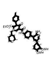 CCOC(=O)c1c(-c2ccc(C)cc2)c(=O)c(C(=O)Nc2ccc(-c3cc(-c4ccc(OC)c(OC)c4)cnc3N)cc2)cn1CC1CCOCC1